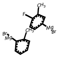 Cc1c[c]([Mg][Br])ccc1F.Cc1cccc[c]1[Mg][Br]